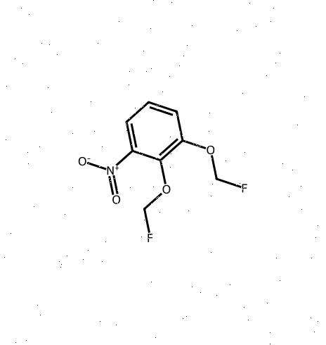 O=[N+]([O-])c1cccc(OCF)c1OCF